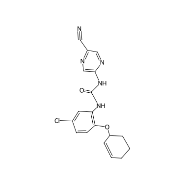 N#Cc1cnc(NC(=O)Nc2cc(Cl)ccc2OC2C=CCCC2)cn1